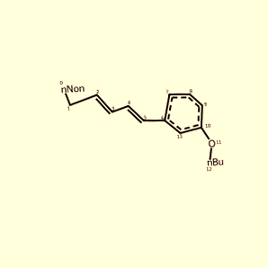 CCCCCCCCCCC=CC=Cc1cccc(OCCCC)c1